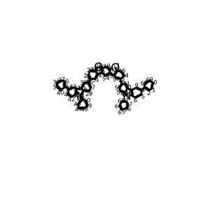 c1ccc(-c2ccc3c(c2)c2cc(-c4ccc5oc6cc7oc8ccc(-c9ccc%10c(c9)c9cc(-c%11ccccc%11)ccc9n%10-c9ccccc9)cc8c7cc6c5c4)ccc2n3-c2ccccc2)cc1